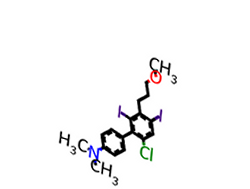 COCCCc1c(I)cc(Cl)c(-c2ccc(N(C)C)cc2)c1I